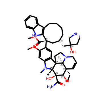 CC[C@@](O)(CN)C[C@H]1CCCCc2c([nH]c3ccccc23)[C@@](C(=O)OC)(c2cc3c(cc2OC)N(C)[C@H]2[C@@](O)(C(N)=O)[C@H](O)[C@]4(CC)C=CCN5CC[C@]32[C@@H]54)C1